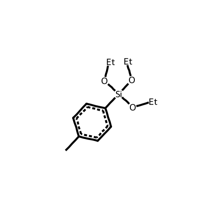 CCO[Si](OCC)(OCC)c1ccc(C)cc1